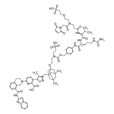 Cc1c(-c2ccc(N3CCc4cccc(C(=O)Nc5nc6ccccc6s5)c4C3)nc2C(=O)O)cnn1CC12CC3(C)CC(C)(C1)CC(OCCN(CCS(=O)(=O)O)C(=O)OCc1ccc(NC(=O)[C@H](CCCNC(N)=O)NC(=O)[C@@H](NC(=O)CCN(CCOCCS(=O)(=O)O)C(=O)CN4C(=O)C=CC4=O)C(C)C)cc1)(C3)C2